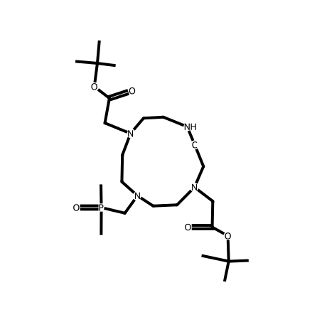 CC(C)(C)OC(=O)CN1CCNCCN(CC(=O)OC(C)(C)C)CCN(CP(C)(C)=O)CC1